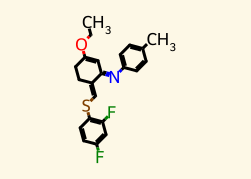 CCOC1=CC(=Nc2ccc(C)cc2)C(=CSc2ccc(F)cc2F)CC1